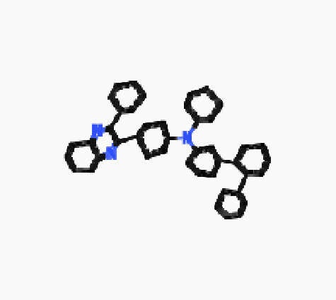 c1ccc(-c2ccccc2-c2cccc(N(c3ccccc3)c3ccc(-c4nc5ccccc5nc4-c4ccccc4)cc3)c2)cc1